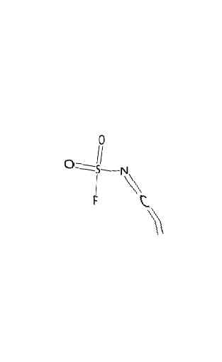 C=C=NS(=O)(=O)F